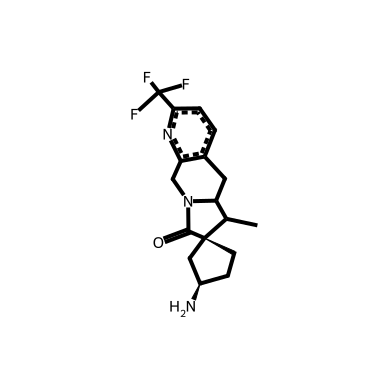 CC1C2Cc3ccc(C(F)(F)F)nc3CN2C(=O)[C@]12CC[C@@H](N)C2